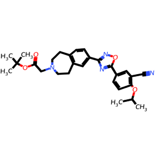 CC(C)Oc1ccc(-c2nc(-c3ccc4c(c3)CCN(CC(=O)OC(C)(C)C)CC4)no2)cc1C#N